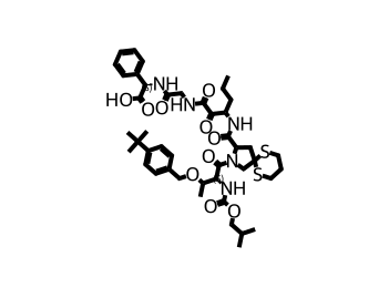 CCCC(NC(=O)C1CC2(CN1C(=O)[C@@H](NC(=O)OCC(C)C)C(C)OCc1ccc(C(C)(C)C)cc1)SCCCS2)C(=O)C(=O)NCC(=O)N[C@H](C(=O)O)c1ccccc1